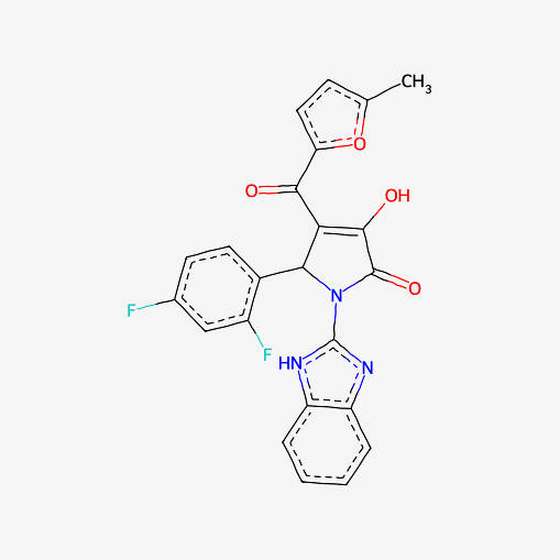 Cc1ccc(C(=O)C2=C(O)C(=O)N(c3nc4ccccc4[nH]3)C2c2ccc(F)cc2F)o1